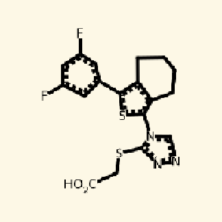 O=C(O)CSc1nncn1-c1sc(-c2cc(F)cc(F)c2)c2c1CCCC2